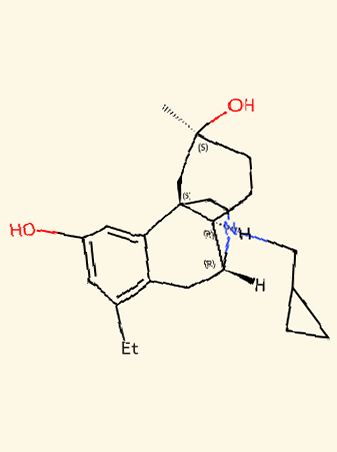 CCc1cc(O)cc2c1C[C@@H]1[C@@H]3CC[C@](C)(O)C[C@]23CCN1CC1CC1